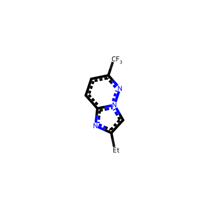 CCc1cn2nc(C(F)(F)F)ccc2n1